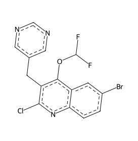 FC(F)Oc1c(Cc2cncnc2)c(Cl)nc2ccc(Br)cc12